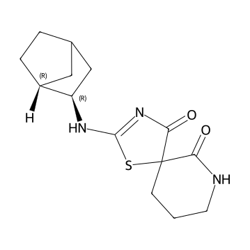 O=C1N=C(N[C@@H]2CC3CC[C@@H]2C3)SC12CCCNC2=O